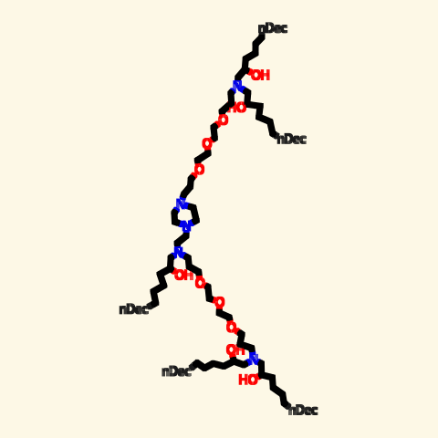 CCCCCCCCCCCCCCC(O)CN(CCCOCCOCCOCCCN(CC(O)CCCCCCCCCCCCCC)CC(O)CCCCCCCCCCCCCC)CCN1CCN(CCCOCCOCCOCCCN(CC(O)CCCCCCCCCCCCCC)CC(O)CCCCCCCCCCCCCC)CC1